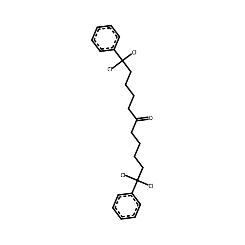 O=C(CCCCC(Cl)(Cl)c1ccccc1)CCCCC(Cl)(Cl)c1ccccc1